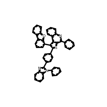 c1ccc(-c2nc3ccccc3c3c(-c4cccc5c4oc4ccccc45)c(-c4ccc(-c5nc6ccccc6n5-c5ccccc5)cc4)sc23)cc1